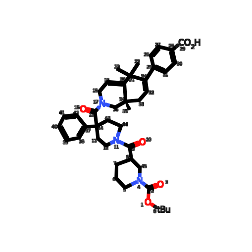 CC(C)(C)OC(=O)N1CCCC(C(=O)N2CCC(C(=O)N3CC=C4C(C)(C)C(c5ccc(C(=O)O)cc5)=CC[C@]4(C)C3)(c3ccccc3)CC2)C1